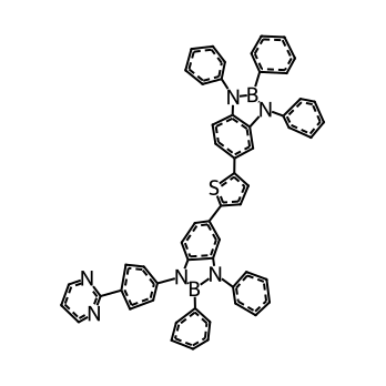 c1ccc(B2N(c3ccccc3)c3ccc(-c4ccc(-c5ccc6c(c5)N(c5ccccc5)B(c5ccccc5)N6c5ccc(-c6ncccn6)cc5)s4)cc3N2c2ccccc2)cc1